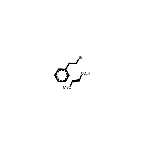 BrCCc1ccccc1.COC=CC(=O)O